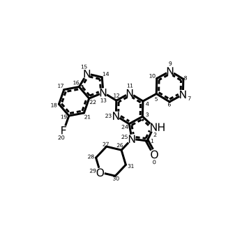 O=c1[nH]c2c(-c3cncnc3)nc(-n3cnc4ccc(F)cc43)nc2n1C1CCOCC1